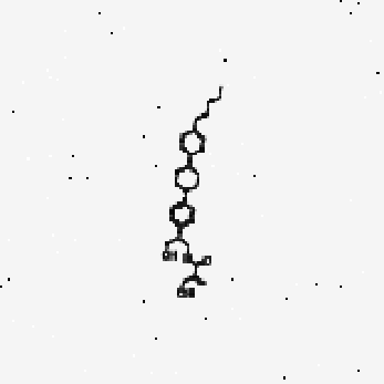 C=C(CO)C(=O)OCC(CO)c1ccc(C2CCC(C3CCC(CCCCC)CC3)CC2)cc1